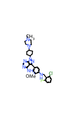 COc1cc(-c2nn(C3CCC(N4CCN(C)CC4)CC3)c3ncnc(N)c23)ccc1NCc1c(F)cccc1Cl